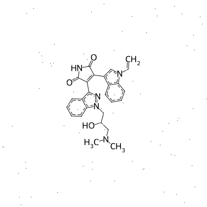 C=Cn1cc(C2=C(c3nn(CC(O)CN(C)C)c4ccccc34)C(=O)NC2=O)c2ccccc21